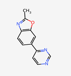 Cc1nc2ccc(-c3ccncn3)cc2o1